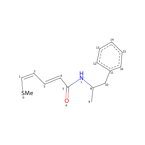 CS/C=C\C=C\C(=O)NC(C)Cc1ccccc1